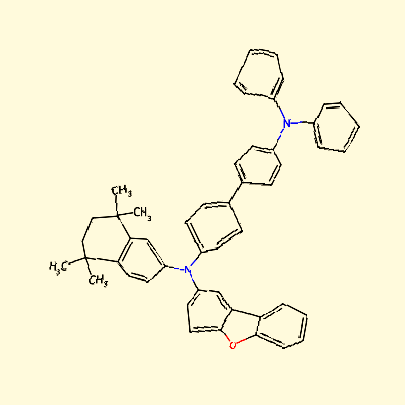 CC1(C)CCC(C)(C)c2cc(N(c3ccc(-c4ccc(N(c5ccccc5)c5ccccc5)cc4)cc3)c3ccc4oc5ccccc5c4c3)ccc21